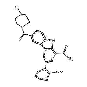 COc1ccccc1-c1cc(C(N)=O)c2[nH]c3ccc(C(=O)N4CCN(C(C)=O)CC4)cc3c2c1